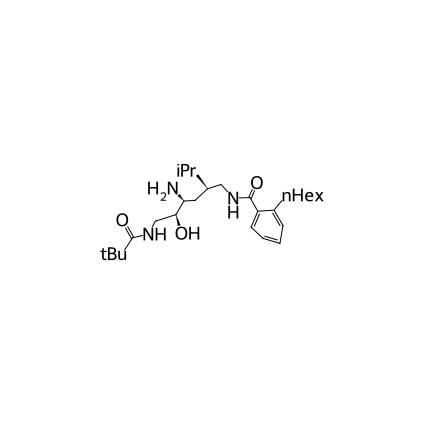 CCCCCCc1ccccc1C(=O)NC[C@@H](C[C@H](N)[C@@H](O)CNC(=O)C(C)(C)C)C(C)C